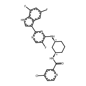 O=C(N[C@@H]1CCC[C@H](Nc2nc(-c3c[nH]c4c(F)cc(F)cc34)ncc2F)C1)c1cc(Cl)ccn1